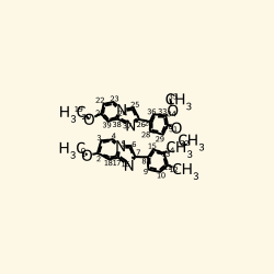 COc1ccn2cc(-c3ccc(C)c(C)c3)nc2c1.COc1ccn2cc(-c3ccc(OC)c(OC)c3)nc2c1